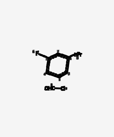 CCCc1cccc(F)c1.O=CCl